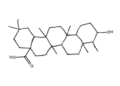 CC1C(O)CCC2C1(C)CCC1C2(C)CCC2(C)C3CC(C)(C)CCC3(C(=O)O)CCC12C